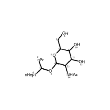 CCCCCCCC(CCC)OC1OC(CO)C(O)C(O)C1NC(C)=O